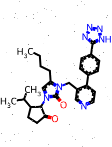 CCCCc1cn(C2C(=O)CCC2C(C)C)c(=O)n1Cc1cnccc1-c1ccc(-c2nnn[nH]2)cc1